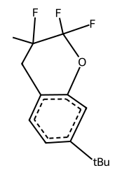 CC(C)(C)c1ccc2c(c1)OC(F)(F)C(C)(F)C2